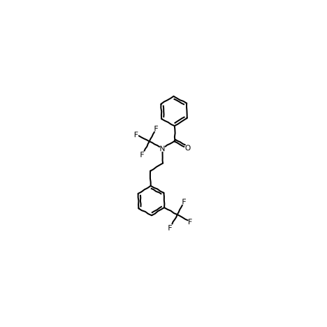 O=C(c1ccccc1)N(CCc1cccc(C(F)(F)F)c1)C(F)(F)F